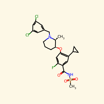 C[C@H]1[C@@H](Oc2cc(F)c(C(=O)NS(C)(=O)=O)cc2C2CC2)CCCN1Cc1cc(Cl)cc(Cl)c1